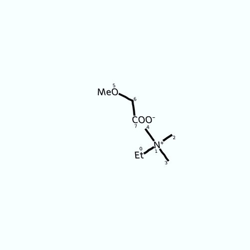 CC[N+](C)(C)C.COCC(=O)[O-]